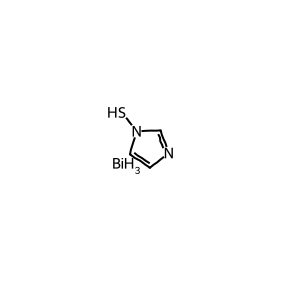 Sn1ccnc1.[BiH3]